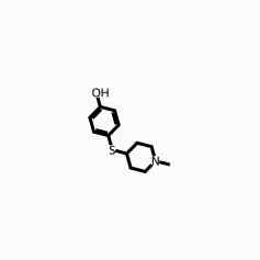 CN1CCC(Sc2ccc(O)cc2)CC1